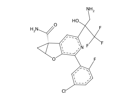 NCC(O)(c1cc2c(c(-c3cc(Cl)ccc3F)n1)OC1C[C@@]21C(N)=O)C(F)(F)F